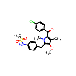 COc1c(C)c(C(=O)c2ccc(Cl)cc2)n(C)c1Cc1ccc(NS(C)(=O)=O)cc1